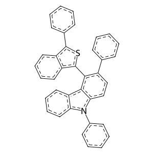 c1ccc(-c2ccc3c(c2-c2sc(-c4ccccc4)c4ccccc24)c2ccccc2n3-c2ccccc2)cc1